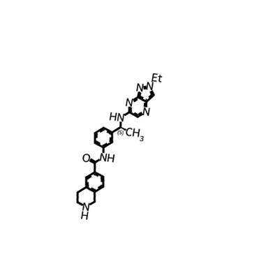 CCn1cc2ncc(N[C@@H](C)c3cccc(NC(=O)c4ccc5c(c4)CCNC5)c3)nc2n1